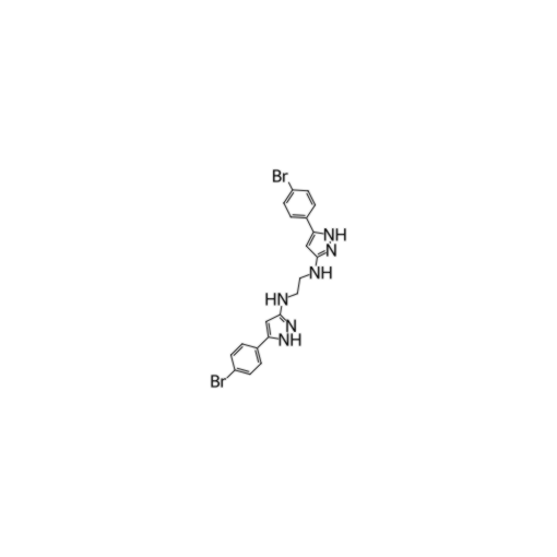 Brc1ccc(-c2cc(NCCNc3cc(-c4ccc(Br)cc4)[nH]n3)n[nH]2)cc1